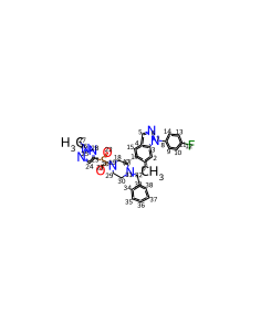 Cc1cc2c(cnn2-c2ccc(F)cc2)cc1[C@H]1CN(S(=O)(=O)c2cnn(C)n2)CCN1Cc1ccccc1